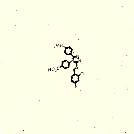 COc1ccc(-c2nnc(SCc3ccc(F)cc3Cl)n2-c2ccc(C(=O)O)cc2)cc1